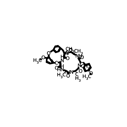 COc1ccc(C[C@H]2C(=O)N[C@@H](C)C(=O)N(C)[C@H]3Cc4ccc(cc4)Oc4cc(ccc4OC)C[C@H](NC3=O)C(=O)N[C@H](C)C(=O)N[C@@H](C)C(=O)N2C)cc1